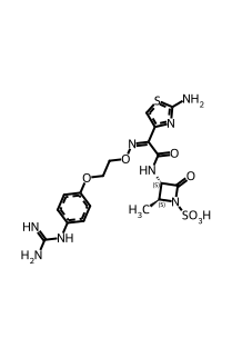 C[C@H]1[C@H](NC(=O)C(=NOCCOc2ccc(NC(=N)N)cc2)c2csc(N)n2)C(=O)N1S(=O)(=O)O